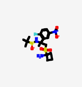 CC(C)(C)[S@@+]([O-])N[C@@](C)(CS(=O)(=O)C1(N)CCC1)c1cc([N+](=O)[O-])ccc1F